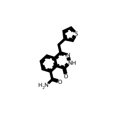 NC(=O)c1[c]ccc2c(Cc3ccsc3)n[nH]c(=O)c12